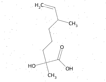 C=CC(C)CCCC(C)(O)C(=O)O